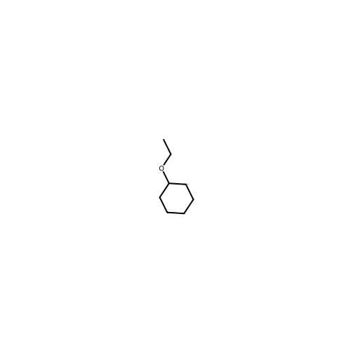 CCOC1[CH]CCCC1